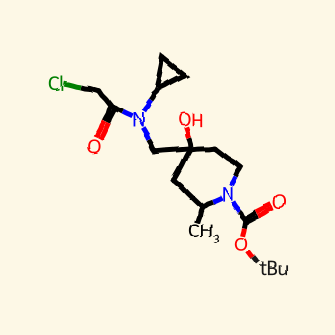 CC1CC(O)(CN(C(=O)CCl)C2CC2)CCN1C(=O)OC(C)(C)C